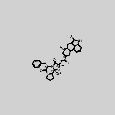 CN1C[C@H](C(=O)N[C@]2(C)O[C@@]3(O)C4CCCN4C(=O)[C@H](Cc4ccccc4)N3C2=O)CC2c3cccc4[nH]c(C(F)(F)F)c(c34)CC21